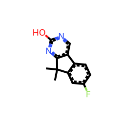 CC1(C)c2cc(F)ccc2-c2cnc(O)nc21